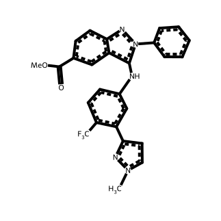 COC(=O)c1ccc2nn(-c3ccccc3)c(Nc3ccc(C(F)(F)F)c(-c4ccn(C)n4)c3)c2c1